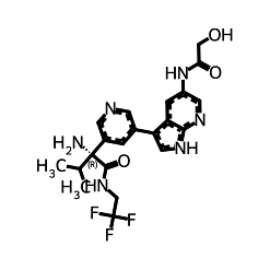 CC(C)[C@](N)(C(=O)NCC(F)(F)F)c1cncc(-c2c[nH]c3ncc(NC(=O)CO)cc23)c1